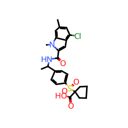 Cc1cc(Cl)c2cc(C(=O)NC(C)c3ccc(S(=O)(=O)C4(C(=O)O)CCCC4)cc3)n(C)c2c1